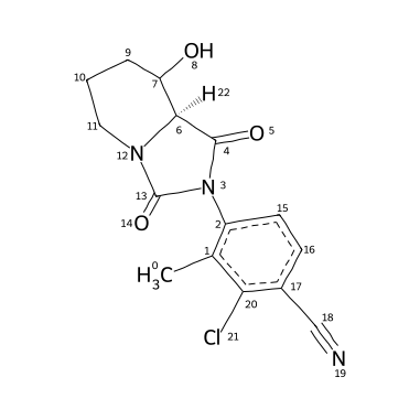 Cc1c(N2C(=O)[C@@H]3C(O)CCCN3C2=O)ccc(C#N)c1Cl